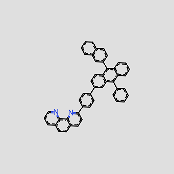 c1ccc(-c2c3ccccc3c(-c3ccc4ccccc4c3)c3ccc(-c4ccc(-c5ccc6ccc7cccnc7c6n5)cc4)cc23)cc1